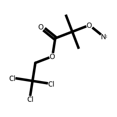 CC(C)(O[N])C(=O)OCC(Cl)(Cl)Cl